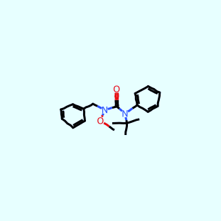 CON(Cc1ccccc1)C(=O)N(c1ccccc1)C(C)(C)C